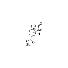 CC(C)(C)OC(=O)N1CC[C@H]2OC(=O)N[C@H]2C1